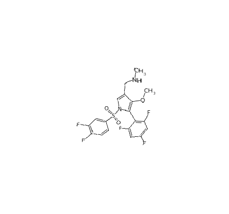 CNCc1cn(S(=O)(=O)c2ccc(F)c(F)c2)c(-c2c(F)cc(F)cc2F)c1OC